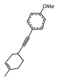 COc1ccc(C#CC2CC=C(C)CC2)cc1